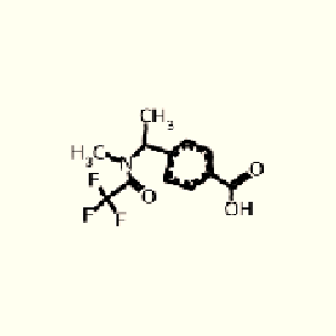 CC(c1ccc(C(=O)O)cc1)N(C)C(=O)C(F)(F)F